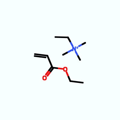 C=CC(=O)OCC.CC[N+](C)(C)C